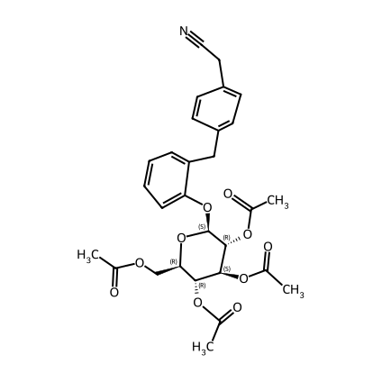 CC(=O)OC[C@H]1O[C@@H](Oc2ccccc2Cc2ccc(CC#N)cc2)[C@H](OC(C)=O)[C@@H](OC(C)=O)[C@@H]1OC(C)=O